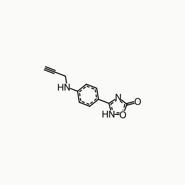 C#CCNc1ccc(-c2nc(=O)o[nH]2)cc1